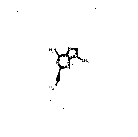 CC#Cc1nc(N)c2ncn(C)c2n1